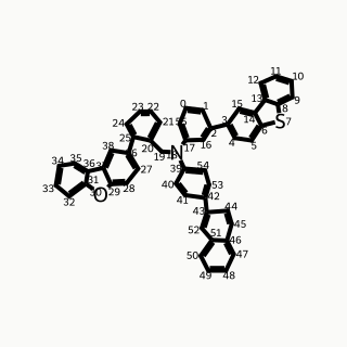 c1cc(-c2ccc3sc4ccccc4c3c2)cc(N(Cc2ccccc2-c2ccc3oc4ccccc4c3c2)c2ccc(-c3ccc4ccccc4c3)cc2)c1